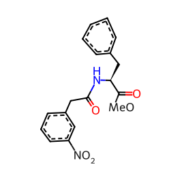 COC(=O)[C@H](Cc1ccccc1)NC(=O)Cc1cccc([N+](=O)[O-])c1